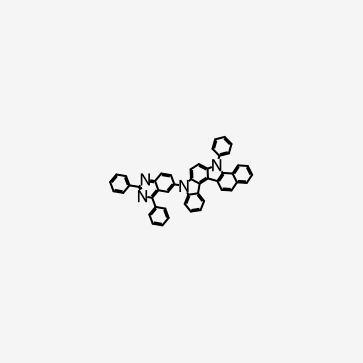 c1ccc(-c2nc(-c3ccccc3)c3cc(-n4c5ccccc5c5c6c7ccc8ccccc8c7n(-c7ccccc7)c6ccc54)ccc3n2)cc1